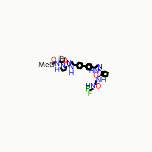 COC(=O)N[C@H](C(=O)N1CCC[C@H]1c1ncc(-c2ccc(-c3ccc(-c4cnc([C@@H]5C6CCC(C6)[C@H]5C(=O)NCC(=O)NCC(F)F)[nH]4)cc3)cc2)[nH]1)C(C)C